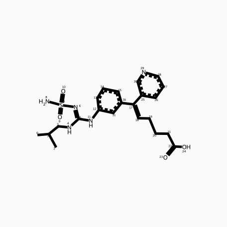 CC(C)CNC(=NS(N)(=O)=O)Nc1cccc(C(=CCCCC(=O)O)c2cccnc2)c1